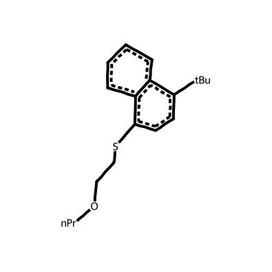 CCCOCCSc1ccc(C(C)(C)C)c2ccccc12